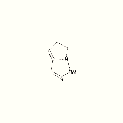 C1=NNN2CCC=C12